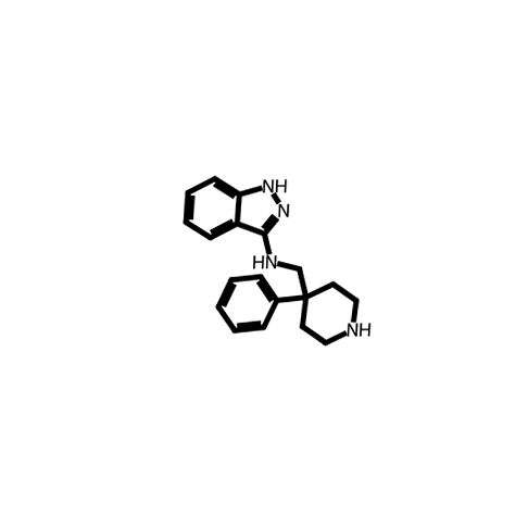 c1ccc(C2(CNc3n[nH]c4ccccc34)CCNCC2)cc1